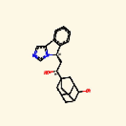 OC1C2CC3CC1CC([C@H](O)C[C@@H]1c4ccccc4-c4cncn41)(C3)C2